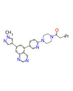 CC(C)CC(=O)N1CCN(c2ccc(-c3cc(-c4cnn(C)c4)cc4ncncc34)cn2)CC1